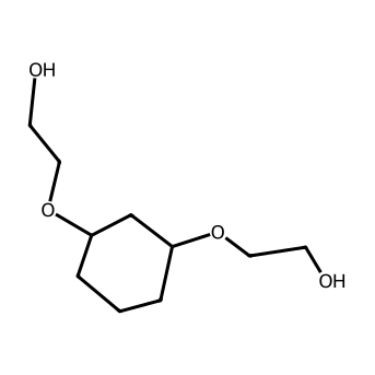 OCCOC1CCCC(OCCO)C1